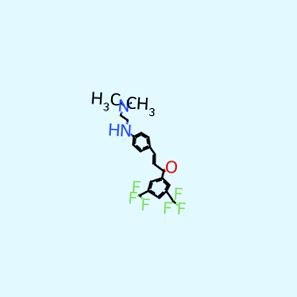 CN(C)CCNc1ccc(C=CC(=O)c2cc(C(F)(F)F)cc(C(F)(F)F)c2)cc1